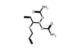 C=CCSC(C=C)N(OC(N)=O)OC(N)=O